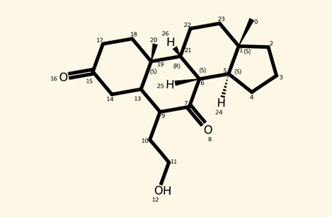 C[C@@]12CCC[C@H]1[C@@H]1C(=O)C(CCO)C3CC(=O)CC[C@]3(C)[C@@H]1CC2